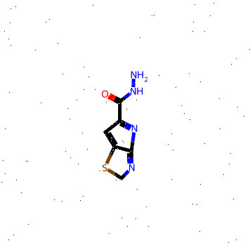 NNC(=O)C1=NC2=NCSC2=C1